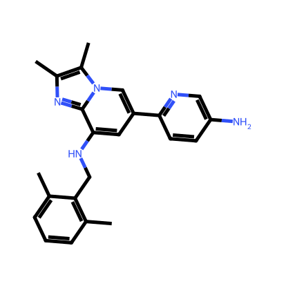 Cc1cccc(C)c1CNc1cc(-c2ccc(N)cn2)cn2c(C)c(C)nc12